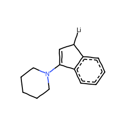 [Li][CH]1C=C(N2CCCCC2)c2ccccc21